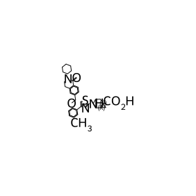 Cc1ccc(OCc2ccc3c(c2)CCN(C2CCCCC2)C3=O)c(-c2csc(N3CC[C@@]4(C(=O)O)C[C@H]4C3)n2)c1